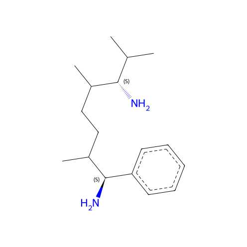 CC(C)[C@H](N)C(C)CCC(C)[C@H](N)c1ccccc1